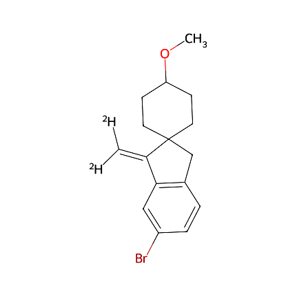 [2H]C([2H])=C1c2cc(Br)ccc2CC12CCC(OC)CC2